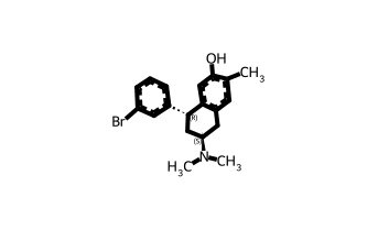 Cc1cc2c(cc1O)[C@@H](c1cccc(Br)c1)C[C@H](N(C)C)C2